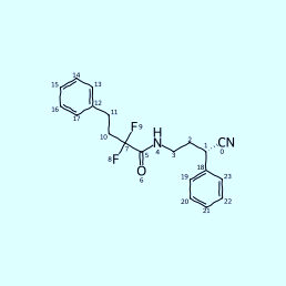 N#C[C@@H](CCNC(=O)C(F)(F)CCc1ccccc1)c1ccccc1